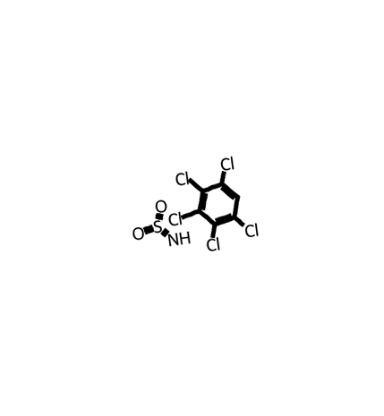 Clc1cc(Cl)c(Cl)c(Cl)c1Cl.N=S(=O)=O